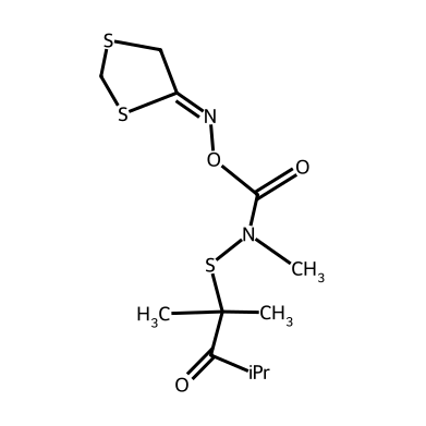 CC(C)C(=O)C(C)(C)SN(C)C(=O)ON=C1CSCS1